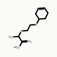 C=C(C(=O)O)C(C)OCCOC1CC=CCC1